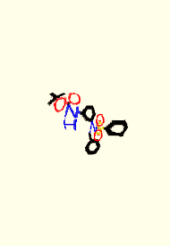 CC(C)(C)OC(=O)Nc1cccc(N(Cc2ccccc2)S(=O)(=O)c2ccccc2)c1